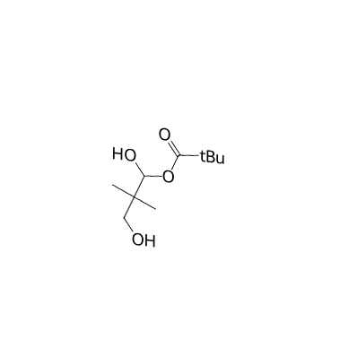 CC(C)(C)C(=O)OC(O)C(C)(C)CO